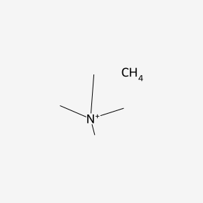 C.C[N+](C)(C)C